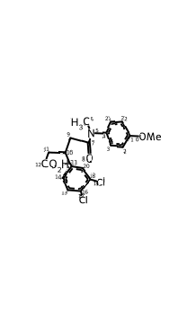 COc1ccc(N(C)C(=O)CC(CC(=O)O)c2ccc(Cl)c(Cl)c2)cc1